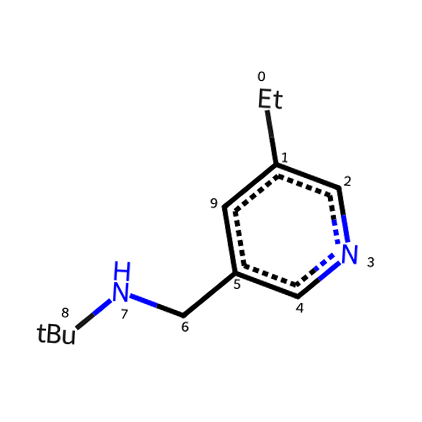 CCc1cncc(CNC(C)(C)C)c1